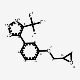 FC(F)(F)c1nnsc1-c1cccc(OCC2CO2)c1